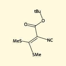 [C-]#[N+]C(C(=O)OC(C)(C)C)=C(SC)SC